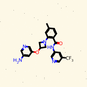 Cc1ccc(C(=O)Nc2cncc(C(F)(F)F)c2)c(N2CC(Oc3cncc(N)c3)C2)c1